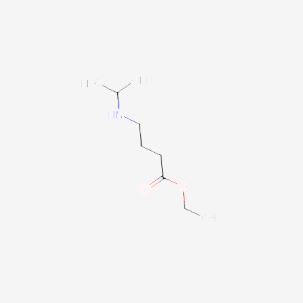 CCOC(=O)CCCNC(C)C